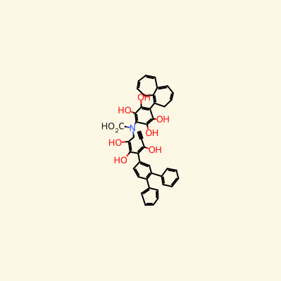 C#C/C(O)=C(\C(O)=C(\O)CN(C(=O)O)c1c(O)c(O)c(C2=C3CC=CC=CC3=CC=CC2)c(O)c1O)c1ccc(-c2ccccc2)c(-c2ccccc2)c1